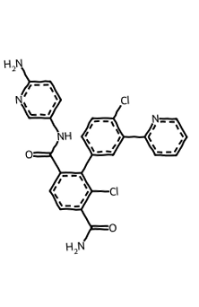 NC(=O)c1ccc(C(=O)Nc2ccc(N)nc2)c(-c2ccc(Cl)c(-c3ccccn3)c2)c1Cl